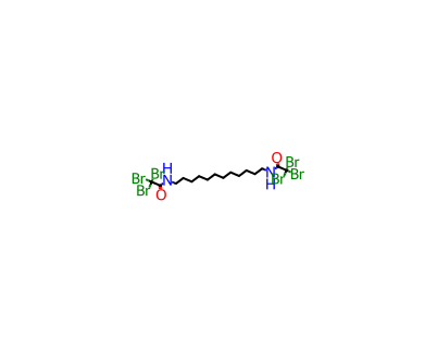 O=C(NCCCCCCCCCCCCNC(=O)C(Br)(Br)Br)C(Br)(Br)Br